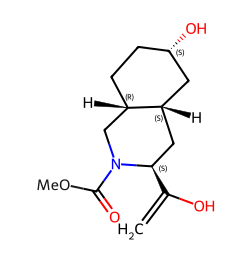 C=C(O)[C@@H]1C[C@H]2C[C@@H](O)CC[C@H]2CN1C(=O)OC